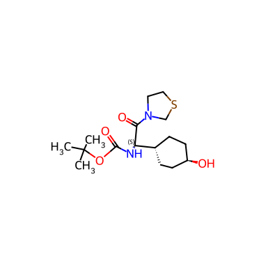 CC(C)(C)OC(=O)N[C@H](C(=O)N1CCSC1)[C@H]1CC[C@H](O)CC1